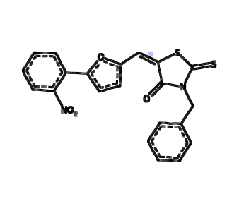 O=C1/C(=C\c2ccc(-c3ccccc3[N+](=O)[O-])o2)SC(=S)N1Cc1ccccc1